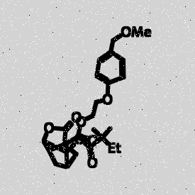 CCC(C)(C)C(=O)OC1C2CC3C1OC(=O)C3(C(=O)OCCOc1ccc(COC)cc1)C2